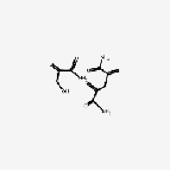 C=C(CC(=C)C(N)=O)C(N)=O.C=C(CO)C(N)=O